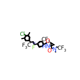 Cc1cc(C(/C=C(\F)c2ccc(C(=O)NC3(C(=O)N(C)CC(F)(F)F)CC3)c(C(F)(F)F)c2)C(F)(F)F)cc(C)c1Cl